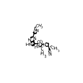 CCn1cc(-c2cnc3[nH]cc(C(=O)NC(C)C(=O)N4CC[C@@](C)(C#N)C4)c3n2)cn1